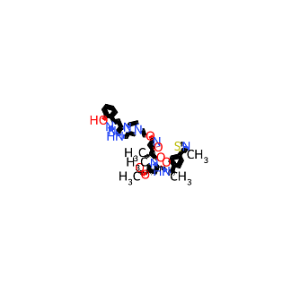 CC(=O)O[C@@H]1C[C@@H](C(=O)N[C@@H](C)c2ccc(-c3scnc3C)cc2)N(C(=O)[C@@H](c2cc(OCCN3CCN4c5cc(-c6ccccc6O)nnc5NCC4C3)no2)C(C)C)C1